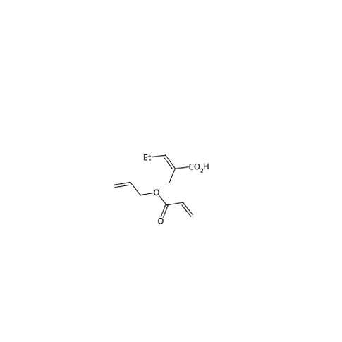 C=CCOC(=O)C=C.CCC=C(C)C(=O)O